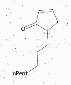 CCCCCCCCC1CC=CC1=O